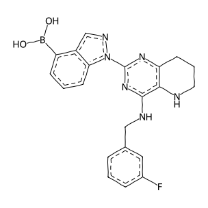 OB(O)c1cccc2c1cnn2-c1nc2c(c(NCc3cccc(F)c3)n1)NCCC2